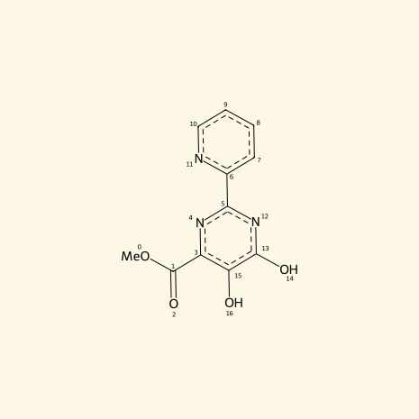 COC(=O)c1nc(-c2ccccn2)nc(O)c1O